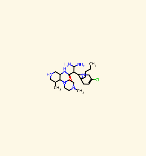 CCCCC12CC=C(Cl)CN1C2C(C(=O)NC1CNCC(C)C1N1CCN(C)CC1)C(N)N